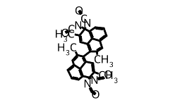 CC1=Cc2c(-c3c(C)cc4cccc5c4c3C=C(C)C5(N=C=O)N=C=O)c(C)cc3cccc(c23)C1(N=C=O)N=C=O